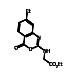 CCOC(=O)CNc1nc2cc(CC)ccc2c(=O)o1